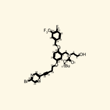 CC(C)(C)OC(=O)N(CCO)Cc1cc(OCCC#Cc2cnc(Br)cn2)ccc1OCc1ccc(F)c(C(F)(F)F)c1